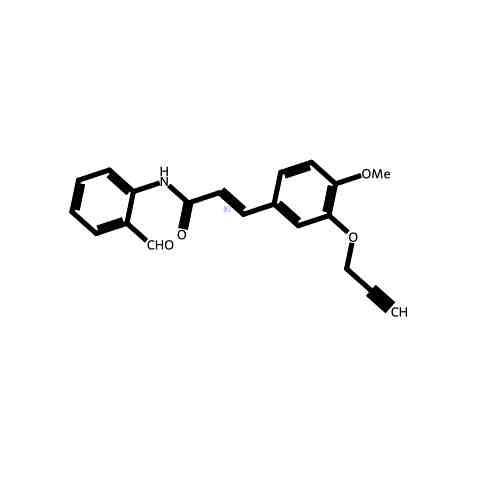 C#CCOc1cc(/C=C/C(=O)Nc2ccccc2C=O)ccc1OC